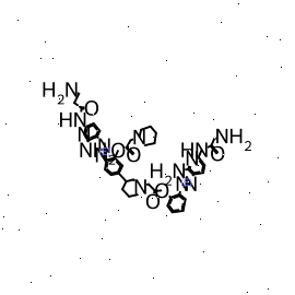 NCCC(=O)Nc1ccc(/N=N/c2ccc(C3CCCN(CC(=O)Oc4ccccc4/N=N/c4ccc(NC(=O)CN)nc4N)C3)cc2OC(=O)CN2CCCCC2)c(N)n1